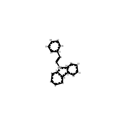 C(=C\n1c2ccccc2c2ccccc21)/c1ccccc1